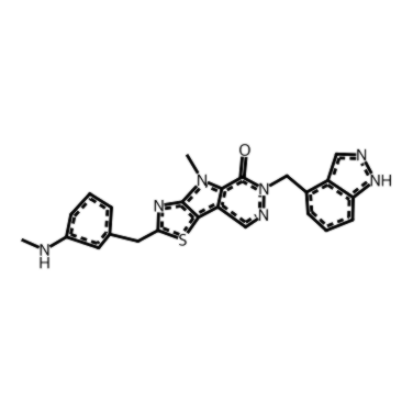 CNc1cccc(Cc2nc3c(s2)c2cnn(Cc4cccc5[nH]ncc45)c(=O)c2n3C)c1